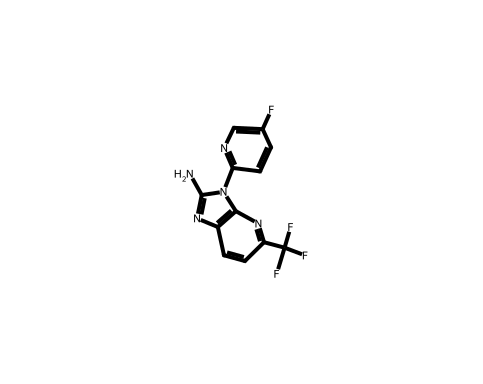 Nc1nc2ccc(C(F)(F)F)nc2n1-c1ccc(F)cn1